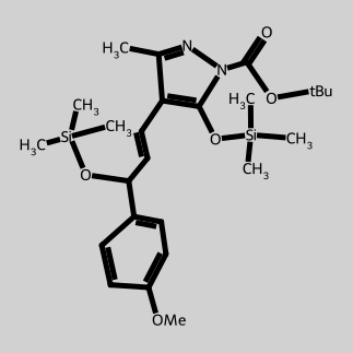 COc1ccc(C(/C=C/c2c(C)nn(C(=O)OC(C)(C)C)c2O[Si](C)(C)C)O[Si](C)(C)C)cc1